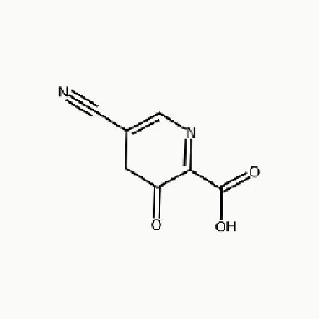 N#CC1=CN=C(C(=O)O)C(=O)C1